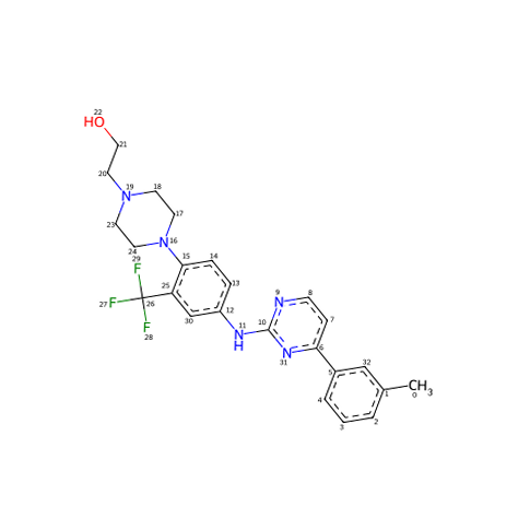 Cc1cccc(-c2ccnc(Nc3ccc(N4CCN(CCO)CC4)c(C(F)(F)F)c3)n2)c1